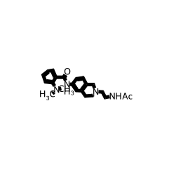 CC(=O)NCCN1CCc2cc(NC(=O)c3ccccc3N(C)C)ccc2C1